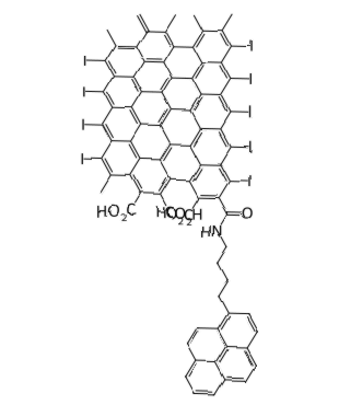 C=c1c(C)c2c3c(C)c(C)c(I)c4c(I)c5c(I)c6c(I)c7c(I)c(C(=O)NCCCCc8ccc9ccc%10cccc%11ccc8c9c%10%11)c(C(=O)O)c8c9c(C(=O)O)c(C(=O)O)c%10c(C)c(I)c%11c(I)c%12c(I)c%13c(I)c(C)c1c1c%13c%13c%12c%12c%11c%10c9c9c(c78)c6c6c5c(c43)c(c21)c%13c6c%129